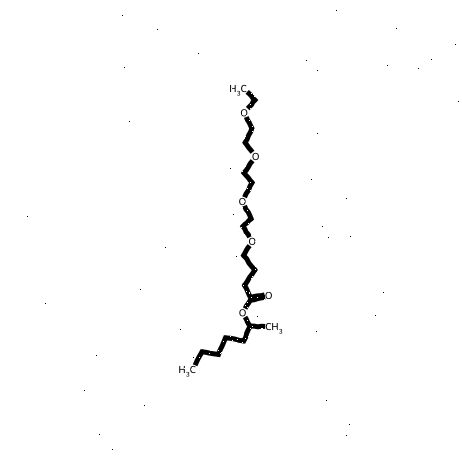 CCCCCC(C)OC(=O)CCCOCCOCCOCCOCC